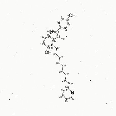 Cc1c(-c2ccc(O)cc2)[nH]c2ccc(O)c(CCCCCCCCSc3ccccn3)c12